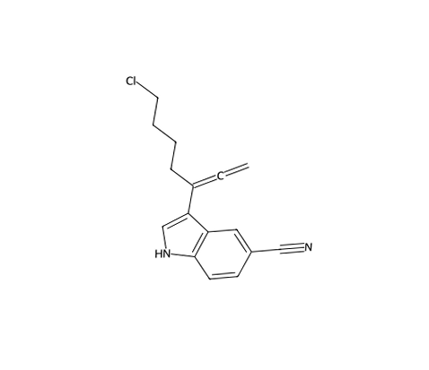 C=C=C(CCCCCl)c1c[nH]c2ccc(C#N)cc12